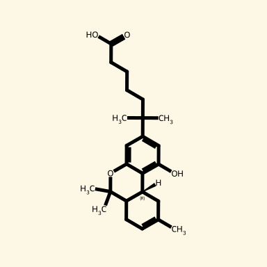 CC1=CCC2[C@@H](C1)c1c(O)cc(C(C)(C)CCCCC(=O)O)cc1OC2(C)C